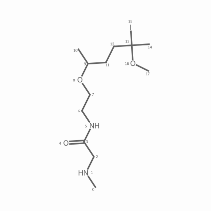 CNCC(=O)NCCOC(C)CCC(C)(I)OC